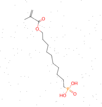 C=C(C)C(=O)OCCCCCCCCCCP(=O)(O)O